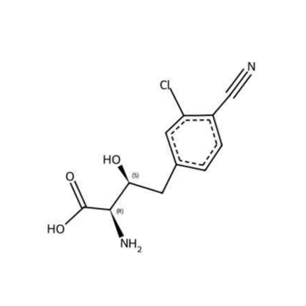 N#Cc1ccc(C[C@H](O)[C@@H](N)C(=O)O)cc1Cl